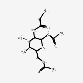 CCC(=O)NC1C(OC(C)=O)OC(COC(C)=O)[C@@H](C)[C@@H]1C